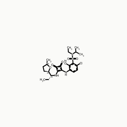 CC[C@@H](Nc1c(Nc2ccc(Cl)c(S(=O)(=O)N(CC)C(C)C)c2O)c(=O)c1=O)[C@H]1CC[C@@H](C)O1